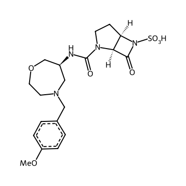 COc1ccc(CN2CCOC[C@@H](NC(=O)N3CC[C@@H]4[C@H]3C(=O)N4S(=O)(=O)O)C2)cc1